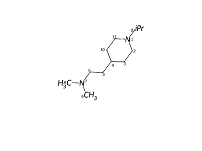 CC(C)N1CCC(CCN(C)C)CC1